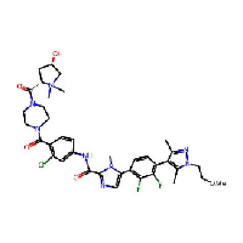 COCCn1nc(C)c(-c2ccc(-c3cnc(C(=O)Nc4ccc(C(=O)N5CCN(C(=O)[C@@H]6C[C@@H](O)C[N+]6(C)C)CC5)c(Cl)c4)n3C)c(F)c2F)c1C